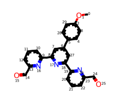 COc1ccc(-c2cc(-c3cccc(C=O)n3)nc(-c3cccc(C=O)n3)c2)cc1